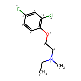 CCN(C)CCOc1ccc(F)cc1Cl